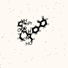 CCCN1NCCC1S(=O)(=O)N1C/C=C\CN2C(CO)[C@@H](c3ccc(-c4cccc(C)c4C)cc3)[C@@H]2C1